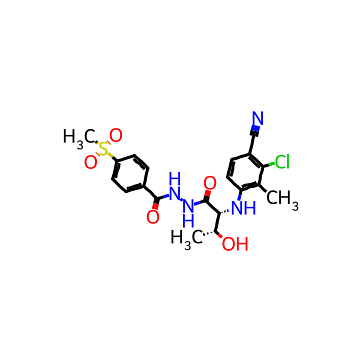 Cc1c(N[C@@H](C(=O)NNC(=O)c2ccc(S(C)(=O)=O)cc2)[C@@H](C)O)ccc(C#N)c1Cl